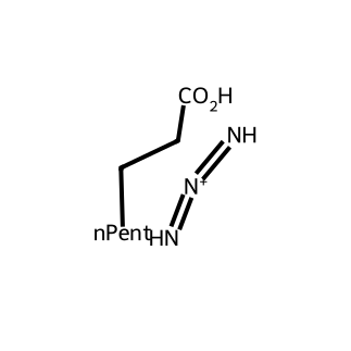 CCCCCCCC(=O)O.N=[N+]=N